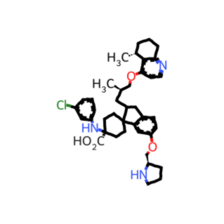 C[C@@H](COc1ccnc2c1[C@H](C)CCC2)CC1Cc2ccc(OC[C@H]3CCCN3)cc2C12CCC(Nc1cccc(Cl)c1)(C(=O)O)CC2